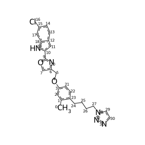 Cc1cc(OCc2coc(-c3cc4ccc(Cl)cc4[nH]3)n2)ccc1CCCCn1ccnn1